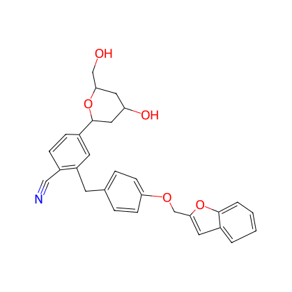 N#Cc1ccc(C2CC(O)CC(CO)O2)cc1Cc1ccc(OCc2cc3ccccc3o2)cc1